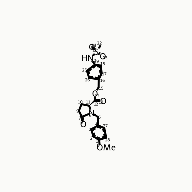 COc1ccc(CN2C(=O)CC[C@H]2C(=O)OCc2ccc(NS(C)(=O)=O)cc2)cc1